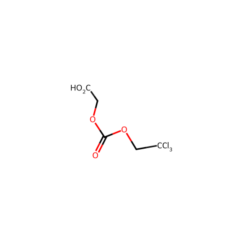 O=C(O)COC(=O)OCC(Cl)(Cl)Cl